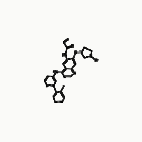 C=CC(=O)Nc1cc2c(Nc3ccnc(-c4ccccc4F)c3)ncnc2cc1O[C@@H]1CCN(C(C)C)C1